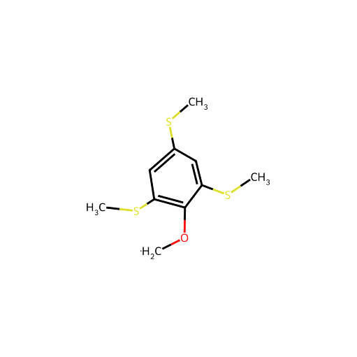 [CH2]Oc1c(SC)cc(SC)cc1SC